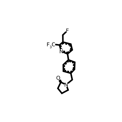 O=C1CCCN1Cc1ccc(-c2ccc(CF)c(C(F)(F)F)n2)cc1